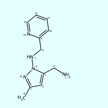 Cc1cc(CN)n(NCc2ccccn2)n1